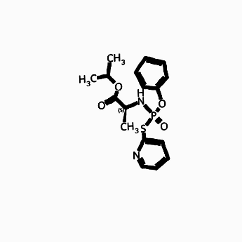 CC(C)OC(=O)[C@H](C)NP(=O)(Oc1ccccc1)Sc1ccccn1